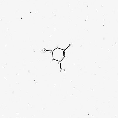 CN1[CH]N(C(F)(F)F)CC(F)=C1